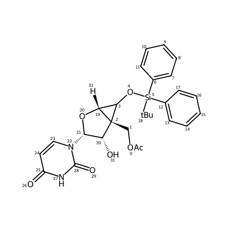 CC(=O)OC[C@]12C(O[Si](c3ccccc3)(c3ccccc3)C(C)(C)C)[C@H]1O[C@@H](n1ccc(=O)[nH]c1=O)[C@H]2O